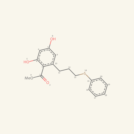 COC(=O)c1c(O)cc(O)cc1CCCSc1ccccc1